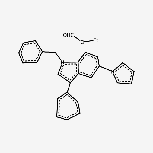 CCOC=O.c1ccc(Cn2cc(-c3ccccc3)c3cc(-n4cccc4)ccc32)cc1